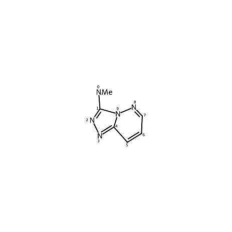 CNc1nnc2cccnn12